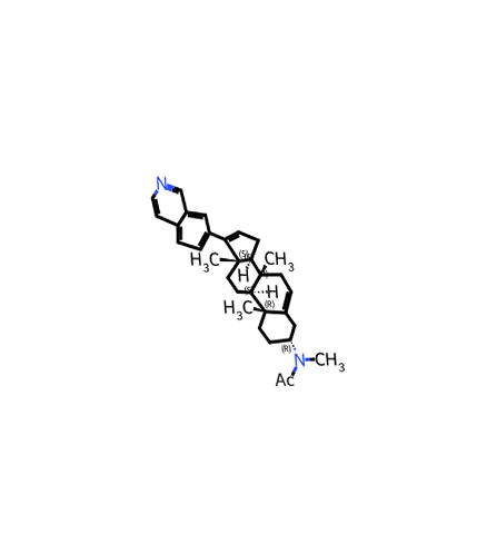 CC(=O)N(C)[C@@H]1CC[C@@]2(C)C(=CC[C@]3(C)[C@@H]2CC[C@]2(C)C(c4ccc5ccncc5c4)=CC[C@@H]32)C1